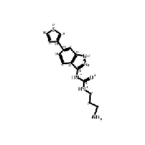 NCCCNC(=O)Nc1n[nH]c2cc(-c3ccsc3)ccc12